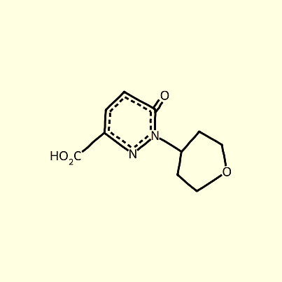 O=C(O)c1ccc(=O)n(C2CCOCC2)n1